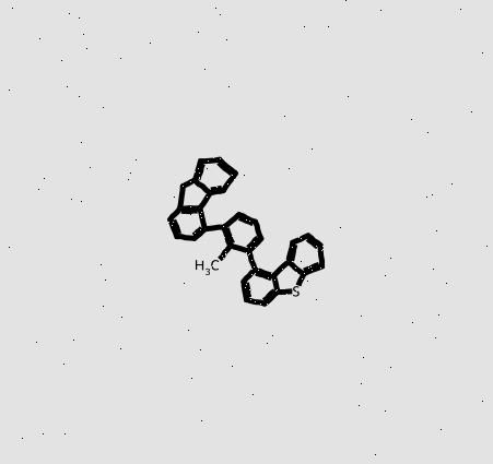 Cc1c(-c2cccc3c2-c2ccccc2C3)cccc1-c1cccc2sc3ccccc3c12